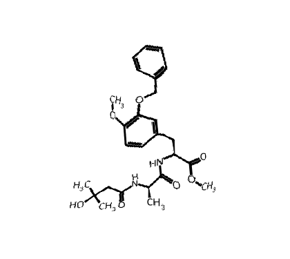 COC(=O)[C@H](Cc1ccc(OC)c(OCc2ccccc2)c1)NC(=O)[C@@H](C)NC(=O)CC(C)(C)O